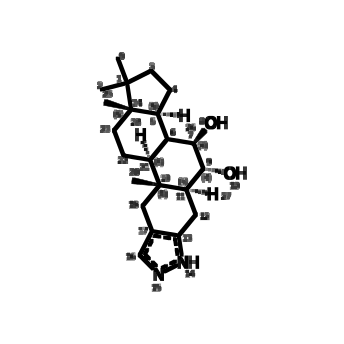 CC1(C)CC[C@H]2C3[C@@H](O)[C@H](O)[C@H]4Cc5[nH]ncc5C[C@]4(C)[C@H]3CC[C@@]21C